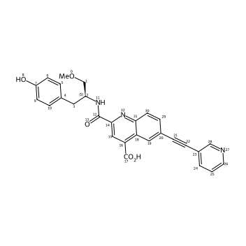 COC[C@H](Cc1ccc(O)cc1)NC(=O)c1cc(C(=O)O)c2cc(C#Cc3cccnc3)ccc2n1